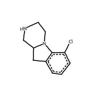 Clc1cccc2c1N1CCNCC1C2